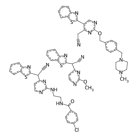 CN1CCN(Cc2ccc(COc3ncc(-c4nc5ccccc5s4)c(CC#N)n3)cc2)CC1.COc1nccc(C(C#N)c2nc3ccccc3s2)n1.N#CC(c1ccnc(NCCNC(=O)c2ccc(Cl)cc2)n1)c1nc2ccccc2s1